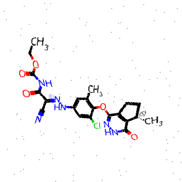 CCOC(=O)NC(=O)/C(C#N)=N/Nc1cc(C)c(Oc2n[nH]c(=O)c3c2CC[C@@H]3C)c(Cl)c1